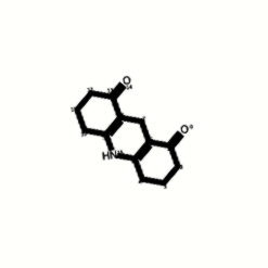 O=C1CCCC2=C1CC1=C(CCCC1=O)N2